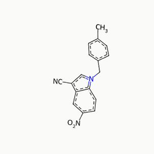 Cc1ccc(Cn2cc(C#N)c3cc([N+](=O)[O-])ccc32)cc1